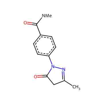 CNC(=O)c1ccc(N2N=C(C)CC2=O)cc1